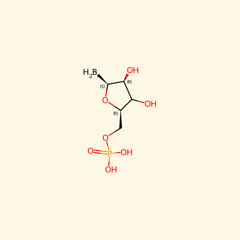 B[C@@H]1O[C@H](COP(=O)(O)O)C(O)[C@@H]1O